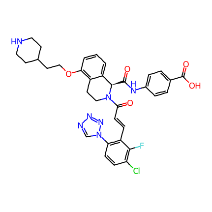 O=C(O)c1ccc(NC(=O)[C@@H]2c3cccc(OCCC4CCNCC4)c3CCN2C(=O)C=Cc2c(-n3cnnn3)ccc(Cl)c2F)cc1